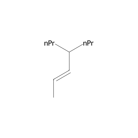 CC=CC(CCC)CCC